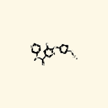 CN(C(=O)c1cnc(Oc2ccc(OC(F)(F)F)cc2)c(Cl)c1)c1cccnc1